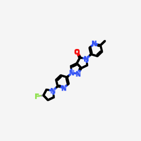 Cc1ccc(N2Cc3nn(-c4ccc(N5CC[C@H](F)C5)nc4)cc3C2=O)cn1